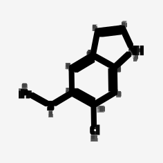 CC(C)Sc1cc2cc[nH]c2cc1Cl